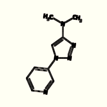 CN(C)c1cn(-c2cccnc2)nn1